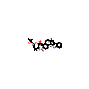 CC1(C)OC1[C@@H]1CC(C)(C)[C@H]2O[C@H]3CC[C@@]4(C)[C@@](O)(CC[C@H]5Cc6c([nH]c7ccccc67)[C@@]54C)[C@@]3(C)C[C@@H]2O1